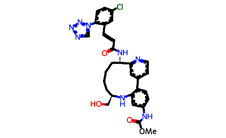 COC(=O)Nc1ccc2c(c1)N[C@@H](CO)CCCC[C@H](NC(=O)/C=C/c1cc(Cl)ccc1-n1cnnn1)c1cc-2ccn1